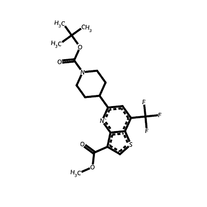 COC(=O)c1csc2c(C(F)(F)F)cc(C3CCN(C(=O)OC(C)(C)C)CC3)nc12